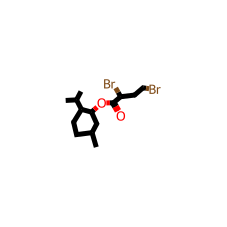 CC1CCC(C(C)C)C(OC(=O)C(Br)CCBr)C1